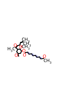 COC1C(OC(=O)/C=C/C=C/C=C/C=C/C(C)=O)CC2(CO2)CC1C1(C)OC1CC=C(C)C